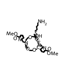 COC(=O)c1cccc(CN2CCOCCOCCN(Cc3cccc(C(=O)OC)n3)CCOC(O)(CSCCCCCN)COCC2)n1